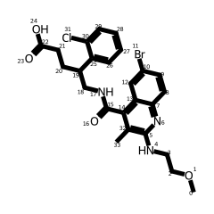 COCCNc1nc2ccc(Br)cc2c(C(=O)NCC(CCC(=O)O)c2ccccc2Cl)c1C